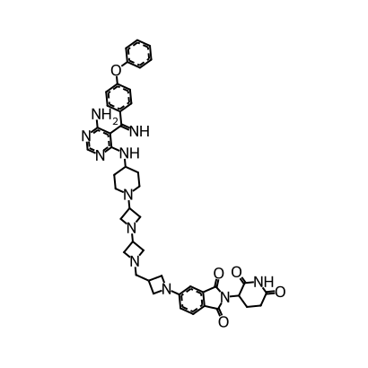 N=C(c1ccc(Oc2ccccc2)cc1)c1c(N)ncnc1NC1CCN(C2CN(C3CN(CC4CN(c5ccc6c(c5)C(=O)N(C5CCC(=O)NC5=O)C6=O)C4)C3)C2)CC1